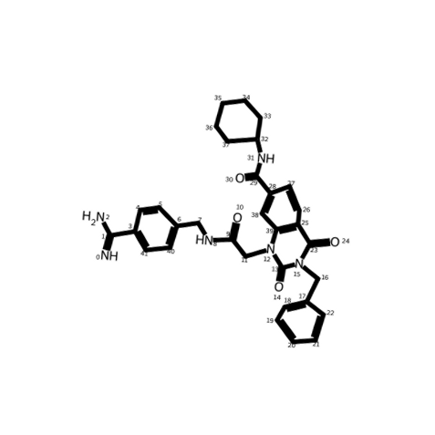 N=C(N)c1ccc(CNC(=O)Cn2c(=O)n(Cc3ccccc3)c(=O)c3ccc(C(=O)NC4CCCCC4)cc32)cc1